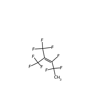 CC(F)(F)C(F)=C(C(F)(F)F)C(F)(F)F